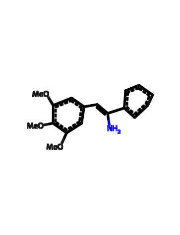 COc1cc(C=C(N)c2ccccc2)cc(OC)c1OC